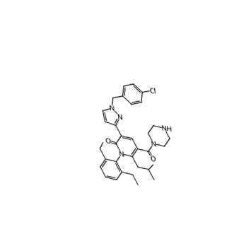 CCc1cccc(CC)c1-n1c(CC(C)C)c(C(=O)N2CCNCC2)cc(-c2ccn(Cc3ccc(Cl)cc3)n2)c1=O